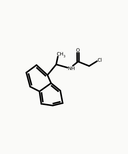 CC(NC(=O)CCl)c1cccc2ccccc12